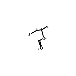 CC(CF)O[C]=O